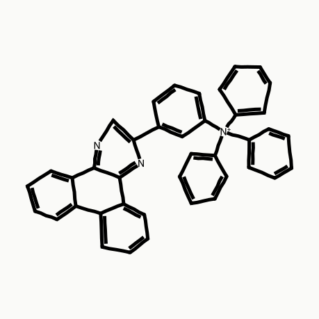 c1ccc([N+](c2ccccc2)(c2ccccc2)c2cccc(-c3cnc4c5ccccc5c5ccccc5c4n3)c2)cc1